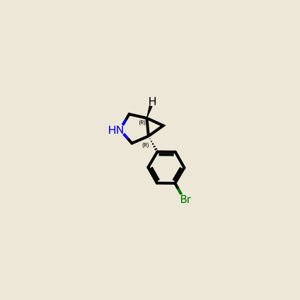 Brc1ccc([C@]23CNC[C@@H]2C3)cc1